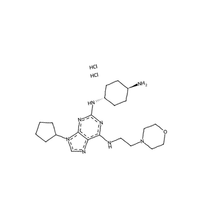 Cl.Cl.N[C@H]1CC[C@H](Nc2nc(NCCN3CCOCC3)c3ncn(C4CCCC4)c3n2)CC1